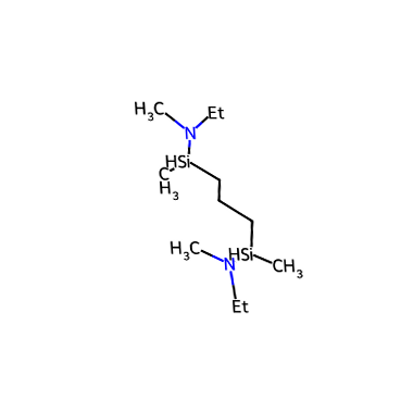 CCN(C)[SiH](C)CCC[SiH](C)N(C)CC